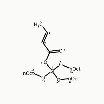 CC=CC(=O)O[Si](OCCCCCCCC)(OCCCCCCCC)OCCCCCCCC